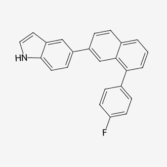 Fc1ccc(-c2cccc3ccc(-c4ccc5[nH]ccc5c4)cc23)cc1